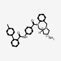 Cc1ccc(-c2ccccc2C(=O)Nc2ccc(C(=O)N3C[C@H]4C[C@@H](N)CN4Cc4ccccc43)cc2)cc1